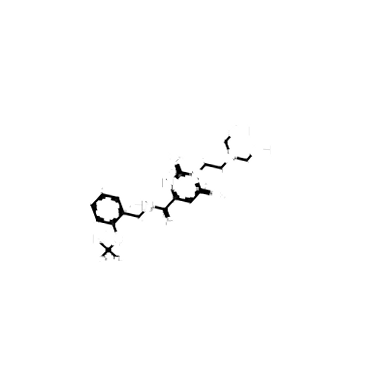 CCN(CC)CCn1c(=O)cc(C(=O)NCc2ccccc2OC(F)(F)F)[nH]c1=O